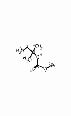 CC(C)OC(=O)OC(C)(C)CN